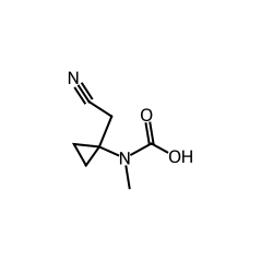 CN(C(=O)O)C1(CC#N)CC1